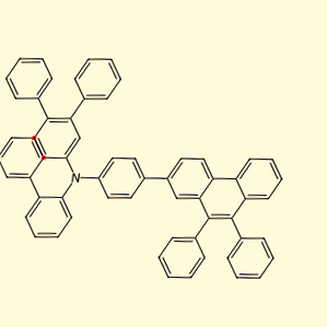 c1ccc(-c2ccc(N(c3ccc(-c4ccc5c(c4)c(-c4ccccc4)c(-c4ccccc4)c4ccccc45)cc3)c3ccccc3-c3ccccc3)cc2-c2ccccc2)cc1